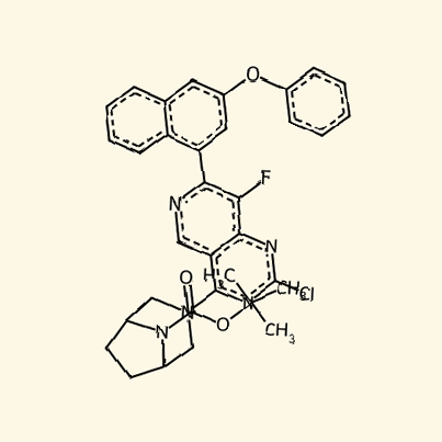 CC(C)(C)OC(=O)N1C2CCC1CN(c1nc(Cl)nc3c(F)c(-c4cc(Oc5ccccc5)cc5ccccc45)ncc13)C2